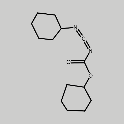 O=C(N=C=NC1CCCCC1)OC1CCCCC1